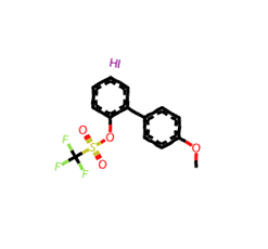 COc1ccc(-c2ccccc2OS(=O)(=O)C(F)(F)F)cc1.I